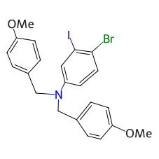 COc1ccc(CN(Cc2ccc(OC)cc2)c2ccc(Br)c(I)c2)cc1